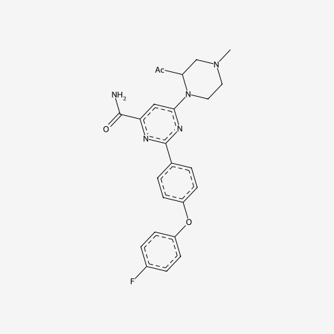 CC(=O)C1CN(C)CCN1c1cc(C(N)=O)nc(-c2ccc(Oc3ccc(F)cc3)cc2)n1